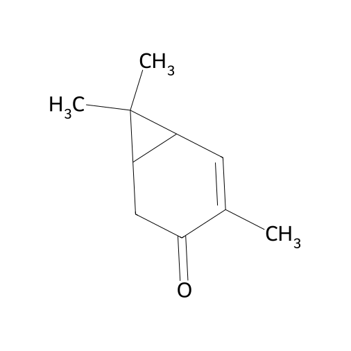 CC1=CC2C(CC1=O)C2(C)C